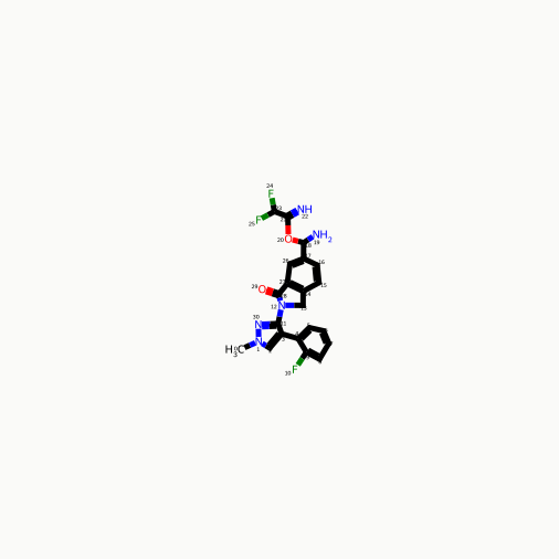 Cn1cc(-c2ccccc2F)c(N2Cc3ccc(C(N)OC(=N)C(F)F)cc3C2=O)n1